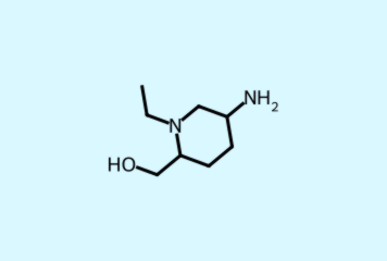 CCN1CC(N)CCC1CO